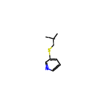 C[C](C)CSc1cccnc1